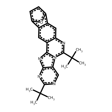 CC(C)(C)c1ncc2c(n1)nc1c3cc4c5ccc(o5)c4cc3nc(C(C)(C)C)n21